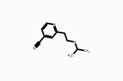 CC(C)OCCc1cc(C#N)ccn1